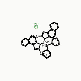 CC1=Cc2c(ccc3ccccc23)[CH]1[Zr+2]([CH]1C(C)=Cc2c1ccc1ccccc21)[SiH](c1ccccc1)c1ccccc1.[Cl-].[Cl-]